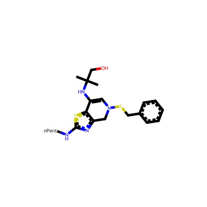 CCCCCNc1nc2c(s1)C(NC(C)(C)CO)=CN(SCc1ccccc1)C2